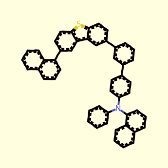 c1ccc(N(c2ccc(-c3cccc(-c4ccc5sc6ccc(-c7cccc8ccccc78)cc6c5c4)c3)cc2)c2cccc3ccccc23)cc1